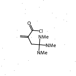 C=C(CC(NC)(NC)NC)C(=O)Cl